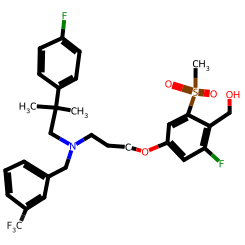 CC(C)(CN(CCCOc1cc(F)c(CO)c(S(C)(=O)=O)c1)Cc1cccc(C(F)(F)F)c1)c1ccc(F)cc1